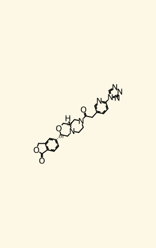 O=C1OCc2cc([C@H]3CN4CCN(C(=O)Cc5ccc(-n6cnnn6)nc5)C[C@H]4CO3)ccc21